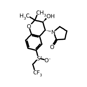 CC1(C)Oc2ccc([S+]([O-])CC(F)(F)F)cc2[C@@H](N2CCCC2=O)[C@@H]1O